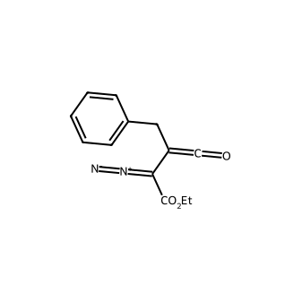 CCOC(=O)C(=[N+]=[N-])C(=C=O)Cc1ccccc1